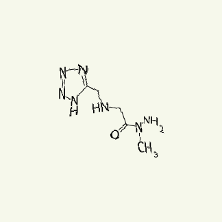 CN(N)C(=O)CNCc1nnn[nH]1